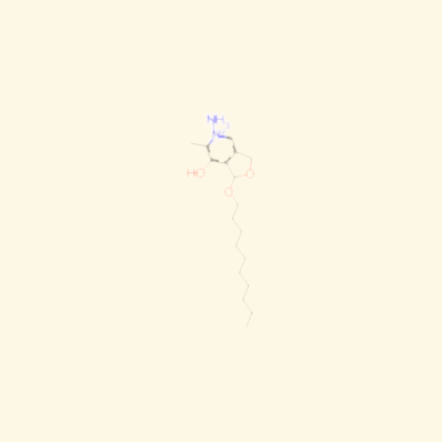 CCCCCCCCCCOC1OCc2c[n+](N)c(C)c(O)c21